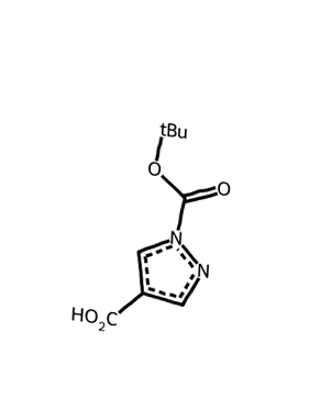 CC(C)(C)OC(=O)n1cc(C(=O)O)cn1